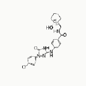 O=C(NC[C@@H]1CCCC[C@H]1O)c1ccc(Nc2nn(-c3ccc(Cl)cc3)c(=O)[nH]2)cc1